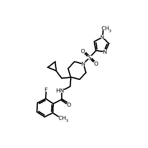 Cc1cccc(F)c1C(=O)NCC1(CC2CC2)CCN(S(=O)(=O)c2cn(C)cn2)CC1